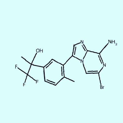 Cc1ccc(C(C)(O)C(F)(F)F)cc1-c1cnc2c(N)nc(Br)cn12